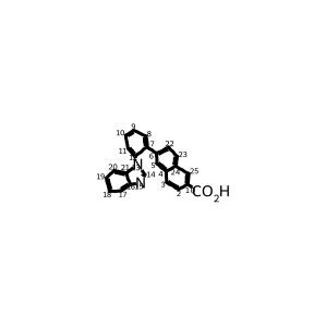 O=C(O)c1ccc2cc(-c3ccccc3-n3cnc4ccccc43)ccc2c1